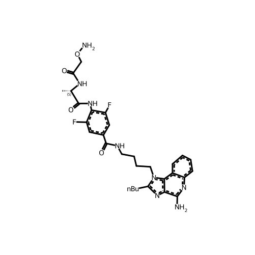 CCCCc1nc2c(N)nc3ccccc3c2n1CCCCNC(=O)c1cc(F)c(NC(=O)[C@H](C)NC(=O)CON)c(F)c1